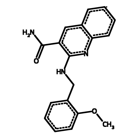 COc1ccccc1CNc1nc2cc[c]cc2cc1C(N)=O